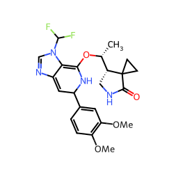 COc1ccc(C2C=c3ncn(C(F)F)c3=C(O[C@H](C)[C@H]3CNC(=O)C34CC4)N2)cc1OC